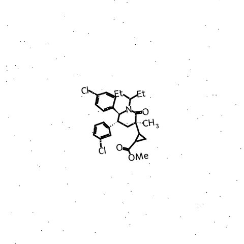 CCC(CC)N1C(=O)[C@@](C)(C2CC2C(=O)OC)C[C@H](c2cccc(Cl)c2)[C@H]1c1ccc(Cl)cc1